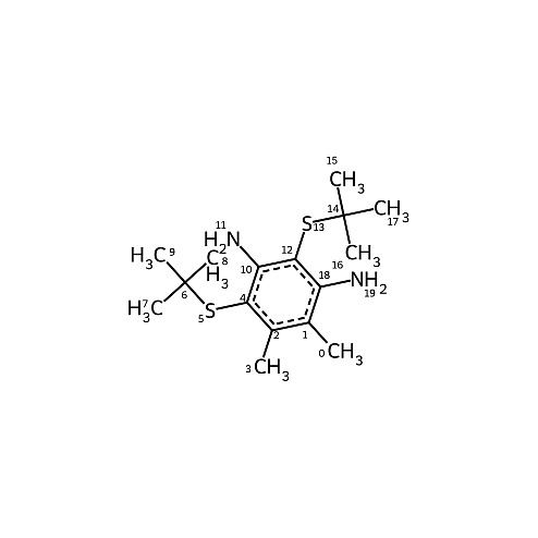 Cc1c(C)c(SC(C)(C)C)c(N)c(SC(C)(C)C)c1N